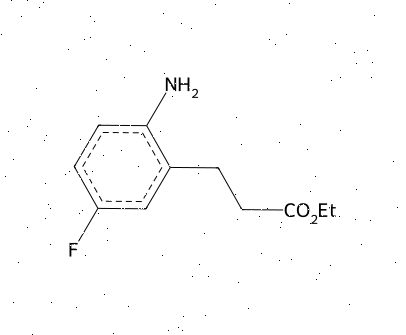 CCOC(=O)CCc1cc(F)ccc1N